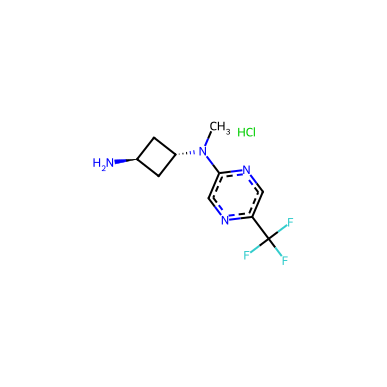 CN(c1cnc(C(F)(F)F)cn1)[C@H]1C[C@H](N)C1.Cl